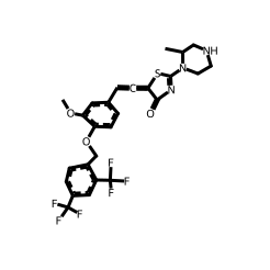 COc1cc(C=C=C2SC(N3CCNCC3C)=NC2=O)ccc1OCc1ccc(C(F)(F)F)cc1C(F)(F)F